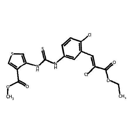 CCOC(=O)C(Cl)=Cc1cc(NC(=S)Nc2cscc2C(=O)OC)ccc1Cl